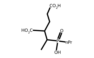 CCCP(=O)(O)C(C)C(CCC(=O)O)C(=O)O